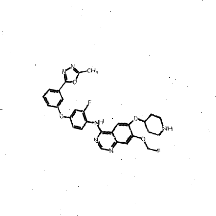 Cc1nnc(-c2cccc(Oc3ccc(Nc4ncnc5cc(OCF)c(OC6CCNCC6)cc45)c(F)c3)c2)o1